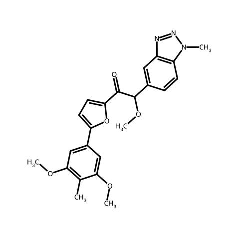 COc1cc(-c2ccc(C(=O)C(OC)c3ccc4c(c3)nnn4C)o2)cc(OC)c1C